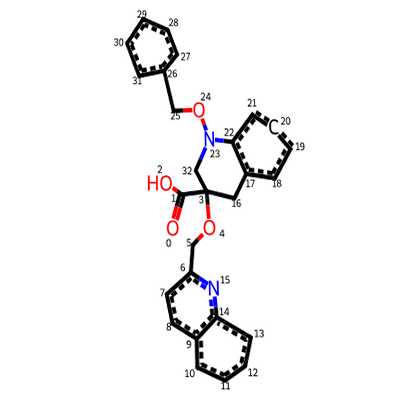 O=C(O)C1(OCc2ccc3ccccc3n2)Cc2ccccc2N(OCc2ccccc2)C1